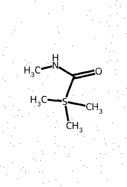 CNC(=O)S(C)(C)C